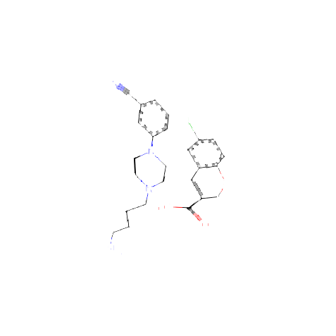 N#Cc1cccc(N2CCN(CCCCN)CC2)c1.O=C(O)C1=Cc2cc(Cl)ccc2OC1